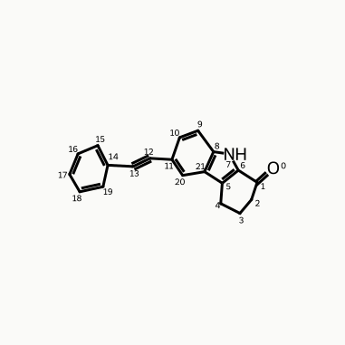 O=C1CCCc2c1[nH]c1ccc(C#Cc3ccccc3)cc21